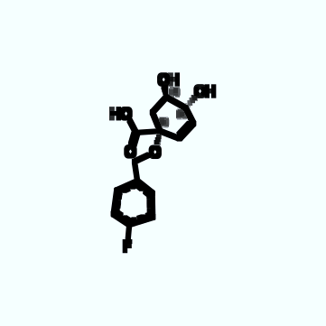 O=C(O)[C@]1(OCc2ccc(F)cc2)C=C[C@@H](O)[C@H](O)C1